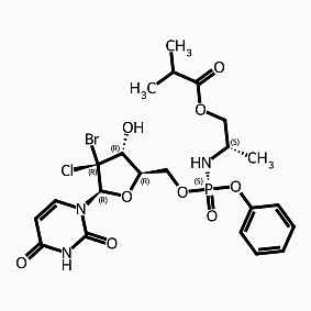 CC(C)C(=O)OC[C@H](C)N[P@](=O)(OC[C@H]1O[C@@H](n2ccc(=O)[nH]c2=O)[C@](Cl)(Br)[C@@H]1O)Oc1ccccc1